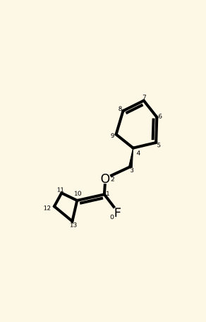 FC(OC[C@@H]1C=CC=CC1)=C1CCC1